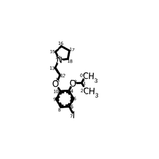 CC(C)Oc1cc(I)ccc1OCCN1CCCC1